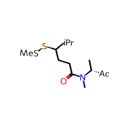 CSSC(CCC(=O)N(C)[C@H](C)C(C)=O)C(C)C